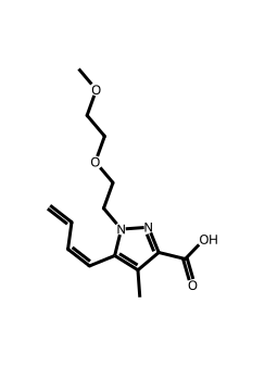 C=C/C=C\c1c(C)c(C(=O)O)nn1CCOCCOC